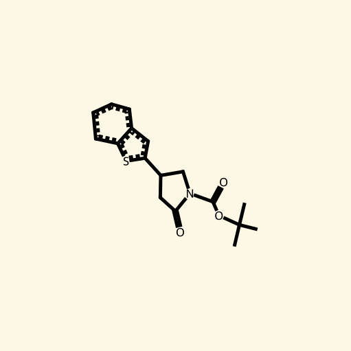 CC(C)(C)OC(=O)N1CC(c2cc3ccccc3s2)CC1=O